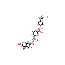 CC(C)(O)C(=O)c1ccc(COC(=O)C2CCCC(C(=O)OCc3ccc(C(=O)C(C)(C)O)cc3)C2)cc1